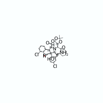 CC1(C)OC[C@H](C(C(N)=O)N2[C@@H](C(CO)C3CC=CCC3)[C@](C#N)(c3ccc(Cl)cc3F)[C@@H](c3cccc(Cl)c3F)[C@@H]2C(=O)O)O1